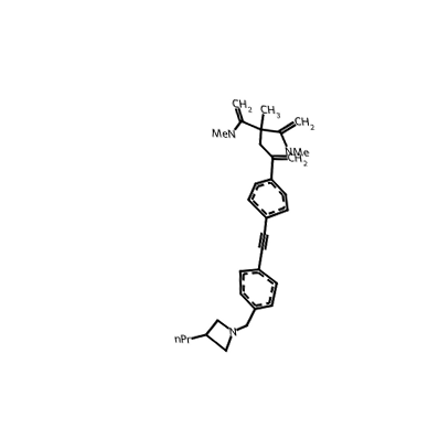 C=C(CC(C)(C(=C)NC)C(=C)NC)c1ccc(C#Cc2ccc(CN3CC(CCC)C3)cc2)cc1